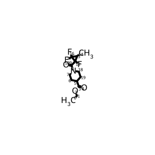 CCOC(=O)C1CCN(C(=O)C2(F)C(C)C2(F)F)CC1